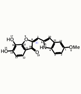 COc1ccc2[nH]c(/C=C3/Oc4c(ccc(O)c4O)C3=O)cc2c1